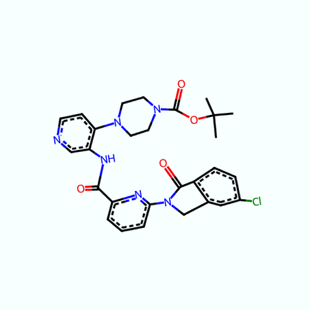 CC(C)(C)OC(=O)N1CCN(c2ccncc2NC(=O)c2cccc(N3Cc4cc(Cl)ccc4C3=O)n2)CC1